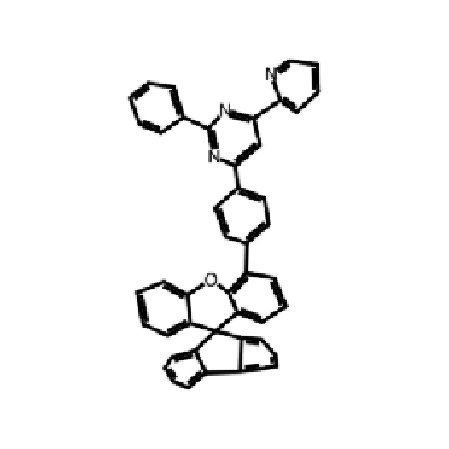 c1ccc(-c2nc(-c3ccc(-c4cccc5c4Oc4ccccc4C54c5ccccc5-c5ccccc54)cc3)cc(-c3ccccn3)n2)cc1